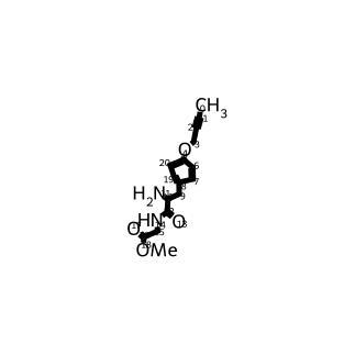 CC#CCOc1ccc(CC(N)C(=O)NCC(=O)OC)cc1